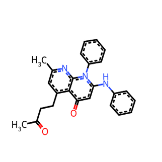 CC(=O)CCc1cc(C)nc2c1c(=O)cc(Nc1ccccc1)n2-c1ccccc1